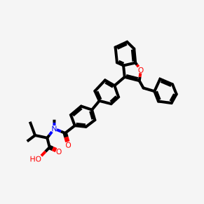 CC(C)C(C(=O)O)N(C)C(=O)c1ccc(-c2ccc(-c3c(Cc4ccccc4)oc4ccccc34)cc2)cc1